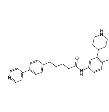 Cc1ccc(NC(=O)CCCCc2ccc(-c3ccncc3)cc2)cc1C1CCNCC1